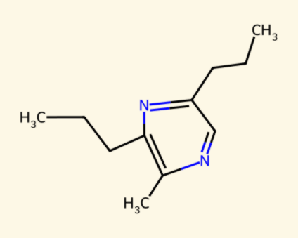 CCCc1cnc(C)c(CCC)n1